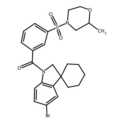 CC1CN(S(=O)(=O)c2cccc(C(=O)N3CC4(CCCCC4)c4cc(Br)ccc43)c2)CCO1